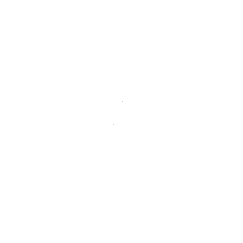 CC(C)(C)CC1=C([Si](C)(N[Si](C)(C)C)c2ccccc2)CC=C1